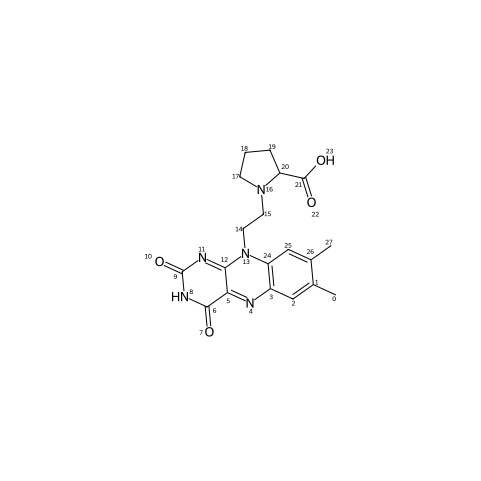 Cc1cc2nc3c(=O)[nH]c(=O)nc-3n(CCN3CCCC3C(=O)O)c2cc1C